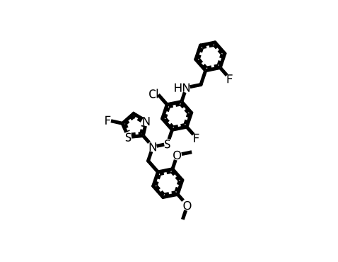 COc1ccc(CN(Sc2cc(Cl)c(NCc3ccccc3F)cc2F)c2ncc(F)s2)c(OC)c1